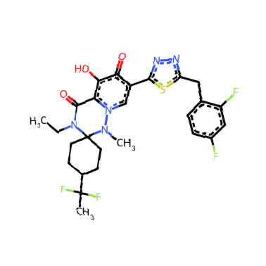 CCN1C(=O)c2c(O)c(=O)c(-c3nnc(Cc4ccc(F)cc4F)s3)cn2N(C)C12CCC(C(C)(F)F)CC2